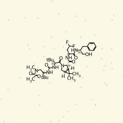 CN(C[C@@H](NC(=O)N[C@H](C(=O)N1C[C@H]2[C@@H]([C@H]1C(=O)N[C@@H](CC(F)F)C(=O)N[C@H](CO)Cc1ccccc1)C2(C)C)C(C)(C)C)C(C)(C)C)S(C)(=O)=O